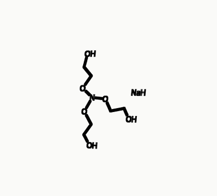 OCCON(OCCO)OCCO.[NaH]